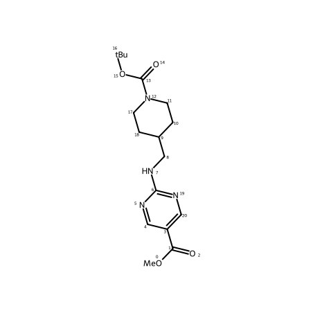 COC(=O)c1cnc(NCC2CCN(C(=O)OC(C)(C)C)CC2)nc1